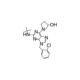 CC(C)(C)Nc1nc(N2CCC(O)C2)c2ncn(Cc3ccccc3Cl)c2n1